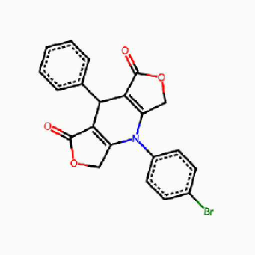 O=C1OCC2=C1C(c1ccccc1)C1=C(COC1=O)N2c1ccc(Br)cc1